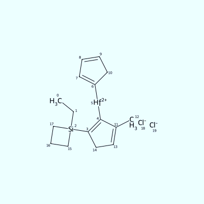 CC[Si]1(C2=[C]([Hf+2][C]3=CC=CC3)C(C)=CC2)CCC1.[Cl-].[Cl-]